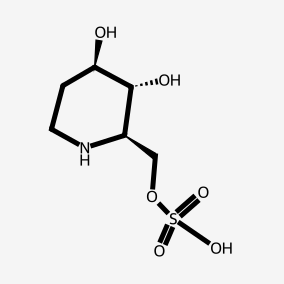 O=S(=O)(O)OC[C@H]1NCC[C@@H](O)[C@@H]1O